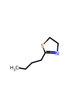 CCCCC1=NCCS1